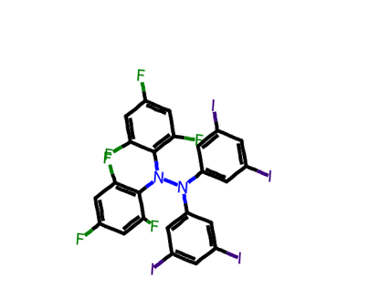 Fc1cc(F)c(N(c2c(F)cc(F)cc2F)N(c2cc(I)cc(I)c2)c2cc(I)cc(I)c2)c(F)c1